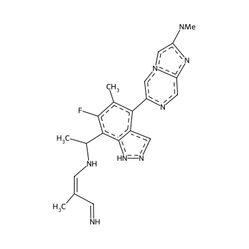 CNc1cn2cc(-c3c(C)c(F)c(C(C)N/C=C(/C)C=N)c4[nH]ncc34)ncc2n1